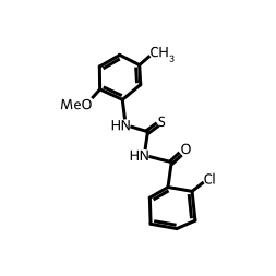 COc1ccc(C)cc1NC(=S)NC(=O)c1ccccc1Cl